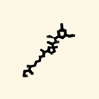 CCC[C@@H](NC(=O)C1(C)CSC(/C(C)=N/OCCCNC(=O)OC(C)(C)C)=N1)c1cc(OC)cc(=O)o1